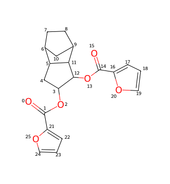 O=C(OC1CC2C3CCC(C3)C2C1OC(=O)c1ccco1)c1ccco1